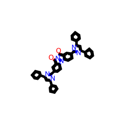 O=c1c2cc(-c3nc(-c4ccccc4)cc(-c4ccccc4)n3)ccc2n2c3ccc(-c4nc(-c5ccccc5)cc(-c5ccccc5)n4)cc3c(=O)n12